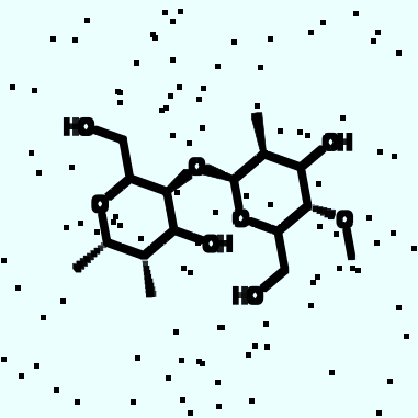 CO[C@@H]1C(CO)O[C@@H](O[C@@H]2C(CO)O[C@@H](C)[C@@H](C)C2O)[C@@H](C)C1O